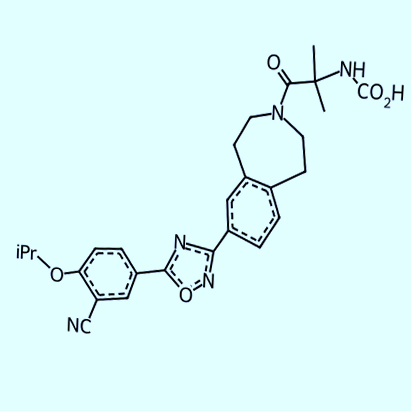 CC(C)Oc1ccc(-c2nc(-c3ccc4c(c3)CCN(C(=O)C(C)(C)NC(=O)O)CC4)no2)cc1C#N